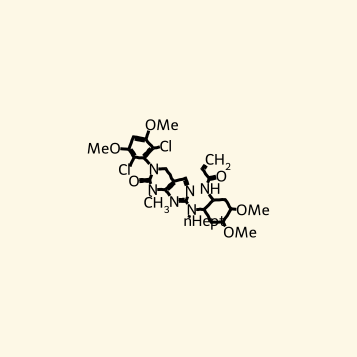 C=CC(=O)NC1CC(OC)C(OC)CC1N(CCCCCCC)c1ncc2c(n1)N(C)C(=O)N(c1c(Cl)c(OC)cc(OC)c1Cl)C2